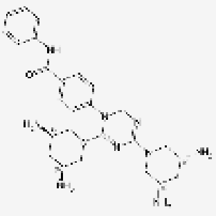 N[C@@H]1C[C@H](N)CN(C2=NCN(c3ccc(C(=O)Nc4ccccc4)cc3)C(N3C[C@H](N)C[C@H](N)C3)=N2)C1